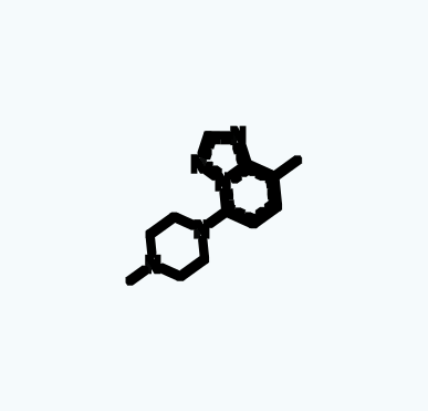 Cc1ccc(N2CCN(C)CC2)n2ncnc12